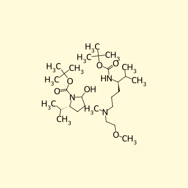 CC(C)[C@H]1CCC(O)N1C(=O)OC(C)(C)C.COCCN(C)CCC[C@@H](NC(=O)OC(C)(C)C)C(C)C